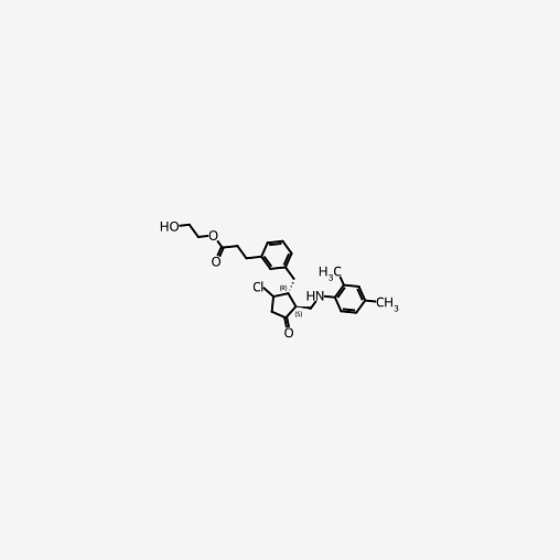 Cc1ccc(NC[C@H]2C(=O)CC(Cl)[C@@H]2Cc2cccc(CCC(=O)OCCO)c2)c(C)c1